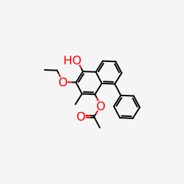 CCOc1c(C)c(OC(C)=O)c2c(-c3ccccc3)cccc2c1O